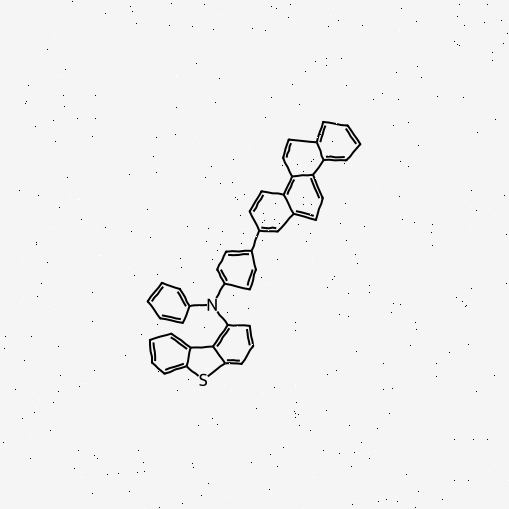 c1ccc(N(c2ccc(-c3ccc4c(ccc5c6ccccc6ccc45)c3)cc2)c2cccc3sc4ccccc4c23)cc1